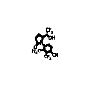 Cc1c(N2C(=O)CCC2[C@@H](O)C(F)(F)F)ccc(C#N)c1C(F)(F)F